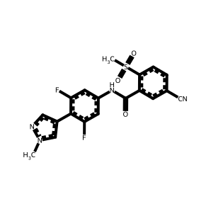 Cn1cc(-c2c(F)cc(NC(=O)c3cc(C#N)ccc3S(C)(=O)=O)cc2F)cn1